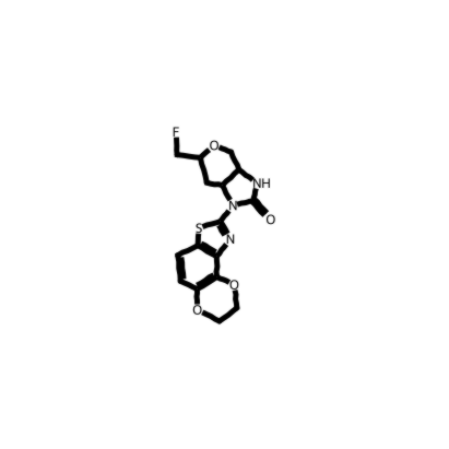 O=C1NC2COC(CF)CC2N1c1nc2c3c(ccc2s1)OCCO3